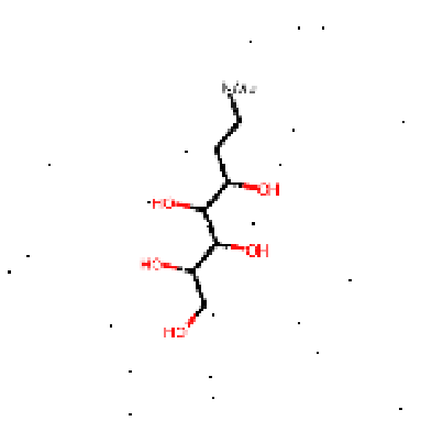 CN[CH]CC(O)C(O)C(O)C(O)CO